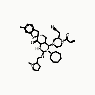 C=CC(=O)N1CCN(C2C3CC[C@]4(Cc5ccc(C)cc5S4)C(=O)C3NC(OCC3CCCN3C)N2C2CCCCCC2)CC1CC#N